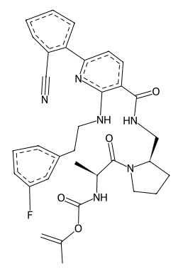 C=C(C)OC(=O)N[C@@H](C)C(=O)N1CCC[C@@H]1CNC(=O)c1ccc(-c2ccccc2C#N)nc1NCCc1cccc(F)c1